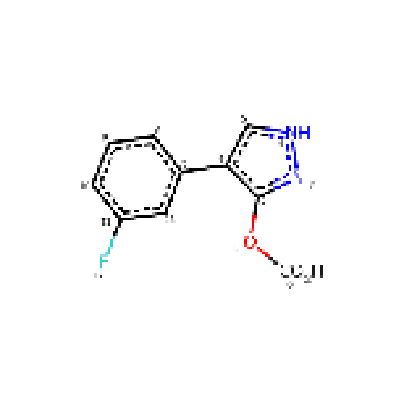 O=C(O)Oc1n[nH]cc1-c1cccc(F)c1